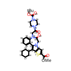 COC(=O)c1cc2c(s1)c(C1CCCCC1)c1n2CC(=O)N(CC(=O)N2CCN(C(=O)OC(C)(C)C)CC2)c2ccccc2-1